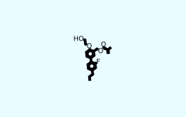 C=C(C)C(=O)OCc1cc(-c2ccc(CCC)cc2F)ccc1OCCO